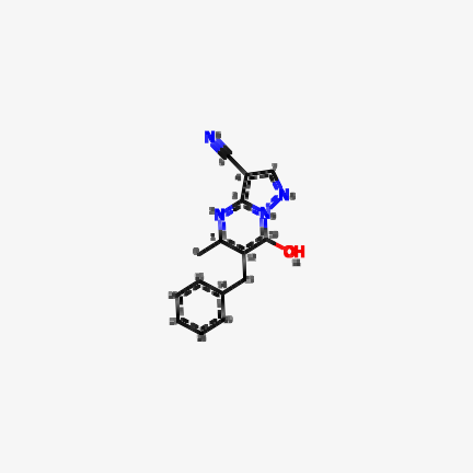 Cc1nc2c(C#N)cnn2c(O)c1Cc1ccccc1